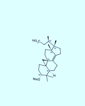 CO[C@@H]1CCC23C[C@]24CC[C@@]2(C)C(=C4CC[C@H]3C1(C)C)CC[C@@]2(C)[C@H](C)CC(=O)O